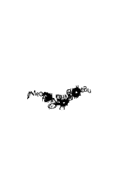 COc1ccc(N2C(=O)c3c(Cl)ccc(NS(=O)(=O)c4ccc(C(C)(C)C)cc4)c3C2=O)cn1